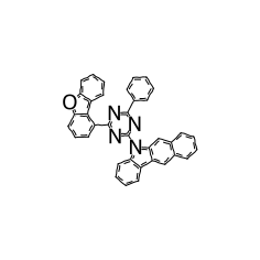 c1ccc(-c2nc(-c3cccc4oc5ccccc5c34)nc(-n3c4ccccc4c4cc5ccccc5cc43)n2)cc1